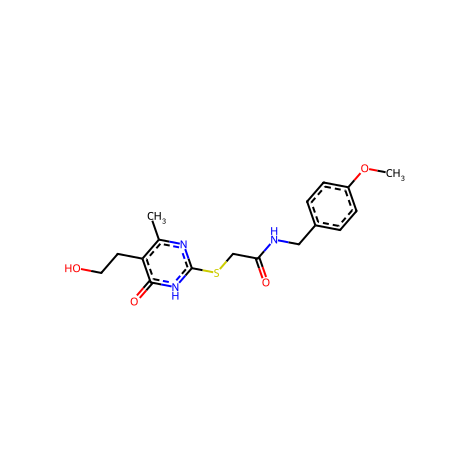 COc1ccc(CNC(=O)CSc2nc(C)c(CCO)c(=O)[nH]2)cc1